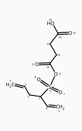 C=CCC(C=C)S(=O)(=O)OC(=O)CCC(=O)O